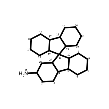 NC1CCC2C3CCCCC3C3(C4CCCCC4C4CCCCC43)C2C1